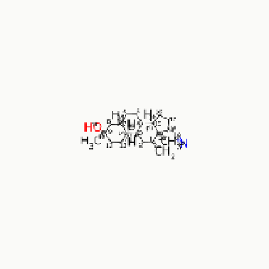 C=C1C[C@H]2C(CC[C@@H]3C[C@](C)(O)CC[C@@H]32)[C@@H]2CC[C@H](C#N)[C@@]12C